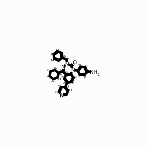 Nc1ccc(N2C(=O)N(Cc3ccccc3)N=C(C3CCCCC3)c3cc(-c4ccncc4)ccc32)cc1